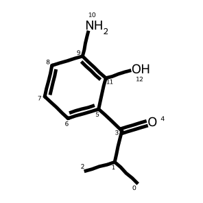 CC(C)C(=O)c1cccc(N)c1O